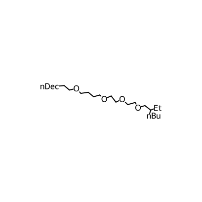 CCCCCCCCCCCCOCCCCOCCOCCOCC(CC)CCCC